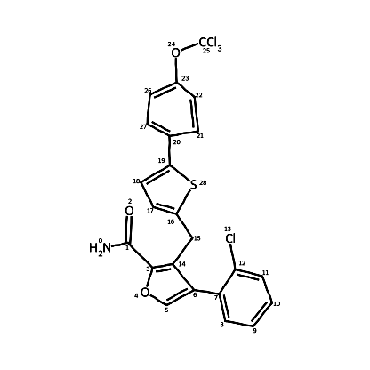 NC(=O)c1occ(-c2ccccc2Cl)c1Cc1ccc(-c2ccc(OC(Cl)(Cl)Cl)cc2)s1